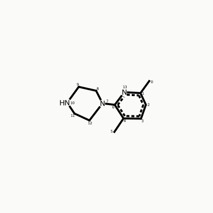 Cc1ccc(C)c(N2CCNCC2)n1